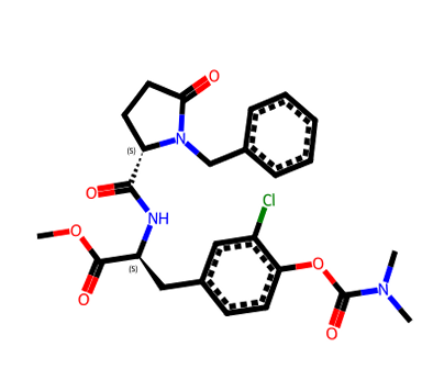 COC(=O)[C@H](Cc1ccc(OC(=O)N(C)C)c(Cl)c1)NC(=O)[C@@H]1CCC(=O)N1Cc1ccccc1